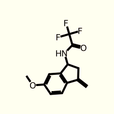 C=C1CC(NC(=O)C(F)(F)F)c2cc(OC)ccc21